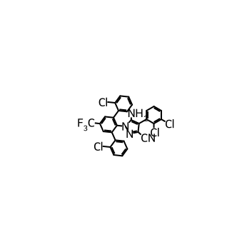 N#Cc1nn(-c2c(-c3ccccc3Cl)cc(C(F)(F)F)cc2-c2ccccc2Cl)c(N)c1-c1cccc(Cl)c1Cl